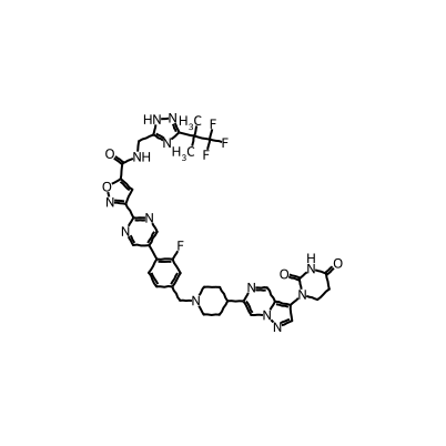 CC(C)(c1n[nH]c(CNC(=O)c2cc(-c3ncc(-c4ccc(CN5CCC(c6cn7ncc(N8CCC(=O)NC8=O)c7cn6)CC5)cc4F)cn3)no2)n1)C(F)(F)F